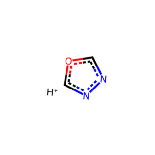 [H+].c1nnco1